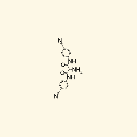 N#Cc1ccc(NC(=O)C(N)C(=O)Nc2ccc(C#N)cc2)cc1